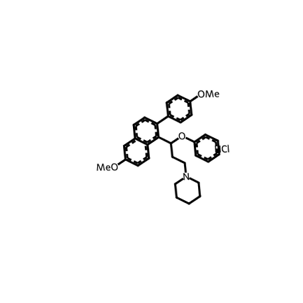 COc1ccc(-c2ccc3cc(OC)ccc3c2C(CCN2CCCCC2)Oc2ccccc2)cc1.Cl